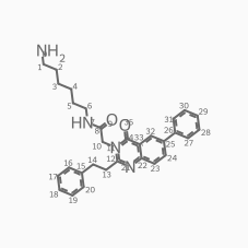 NCCCCCCNC(=O)Cn1c(CCc2ccccc2)nc2ccc(-c3ccccc3)cc2c1=O